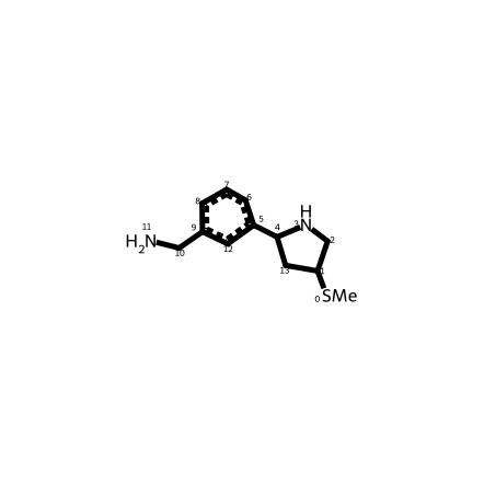 CSC1CNC(c2cccc(CN)c2)C1